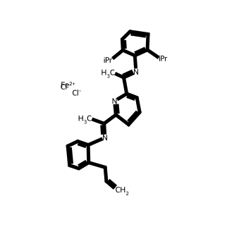 C=CCc1ccccc1/N=C(\C)c1cccc(/C(C)=N/c2c(C(C)C)cccc2C(C)C)n1.[Cl-].[Cl-].[Fe+2]